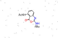 CCCCNc1nc2cccc(NC(C)=O)c2c(=O)o1